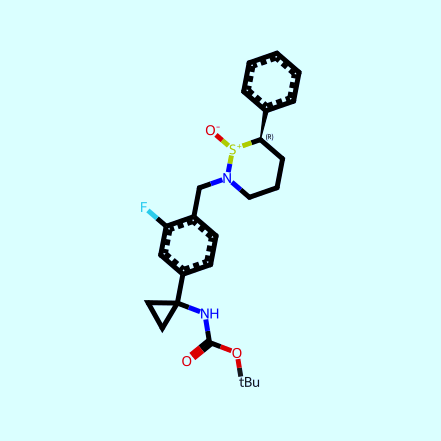 CC(C)(C)OC(=O)NC1(c2ccc(CN3CCC[C@H](c4ccccc4)[S+]3[O-])c(F)c2)CC1